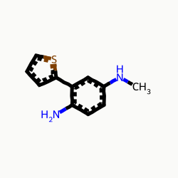 CNc1ccc(N)c(-c2cccs2)c1